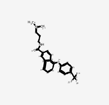 CN(C)CCCNC(=O)c1ccc2c(Oc3ccc(C(F)(F)F)cc3)cccc2c1